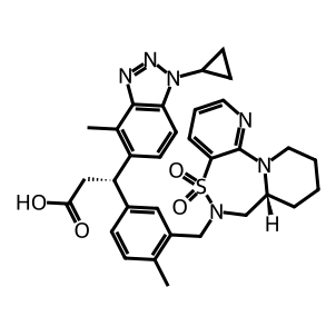 Cc1ccc([C@H](CC(=O)O)c2ccc3c(nnn3C3CC3)c2C)cc1CN1C[C@H]2CCCCN2c2ncccc2S1(=O)=O